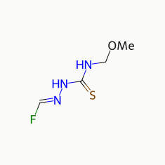 COCNC(=S)NN=CF